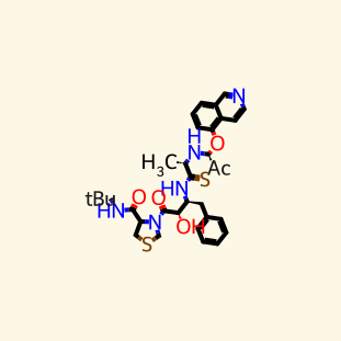 CC(=O)[C@H](N[C@@H](C)C(=S)N[C@@H](Cc1ccccc1)[C@H](O)C(=O)N1CSCC1C(=O)NC(C)(C)C)Oc1cccc2cnccc12